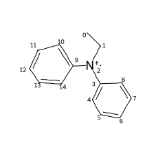 CC[N+](c1ccccc1)c1ccccc1